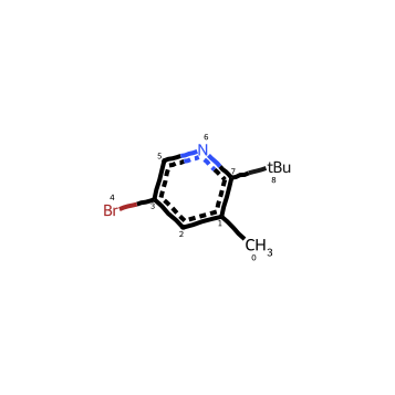 Cc1cc(Br)cnc1C(C)(C)C